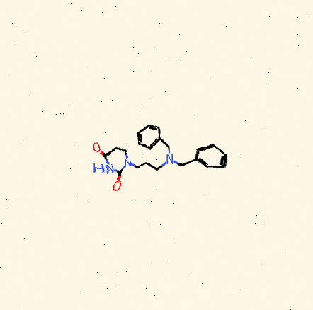 O=C1CCN(CCCN(Cc2ccccc2)Cc2ccccc2)C(=O)N1